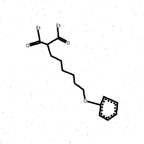 CCC(=O)C(CCCCCCOc1ccccc1)C(=O)CC